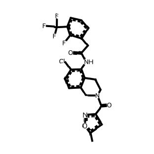 Cc1cc(C(=O)N2CCc3c(ccc(Cl)c3NC(=O)Cc3cccc(C(F)(F)F)c3F)C2)no1